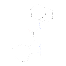 O=C(NC12CC3CC(CC(C3)C1)C2)c1nnc2cccccc1-2